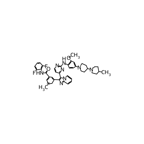 COc1cc(N2CCC(N3CCC(C)CC3)CC2)ccc1Nc1nccc(-c2c(C3=CC(C(=O)Nc4c(F)cccc4F)=C[C@H](C)C3)nc3ccccn23)n1